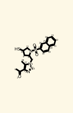 CC(=O)c1nnn(CC2CC(S)CN2S(=O)(=O)c2ccc3ccccc3c2)c1C